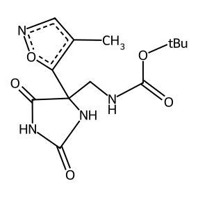 Cc1cnoc1C1(CNC(=O)OC(C)(C)C)NC(=O)NC1=O